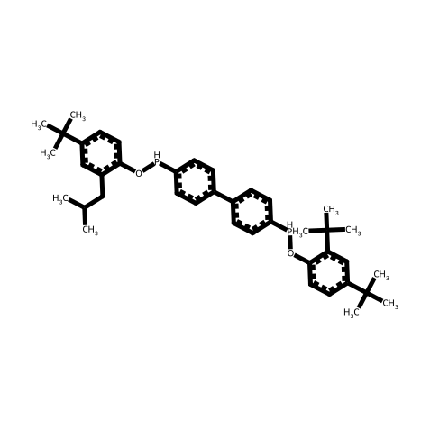 CC(C)Cc1cc(C(C)(C)C)ccc1OPc1ccc(-c2ccc(POc3ccc(C(C)(C)C)cc3C(C)(C)C)cc2)cc1